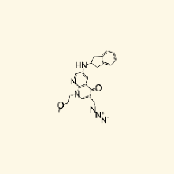 COCCn1cc(CN=[N+]=[N-])c(=O)c2cc(NC3Cc4ccccc4C3)cnc21